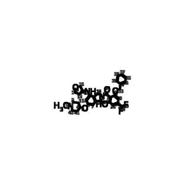 CN1CCC(Oc2cc3c(c(N[C@H]4CCOC4)c2)CN(C(=O)c2c(O)cc(C(F)F)cc2OCc2ccccc2)C3)CC1